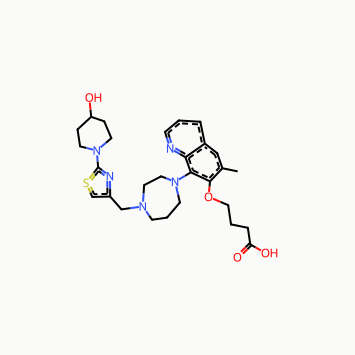 Cc1cc2cccnc2c(N2CCCN(Cc3csc(N4CCC(O)CC4)n3)CC2)c1OCCCC(=O)O